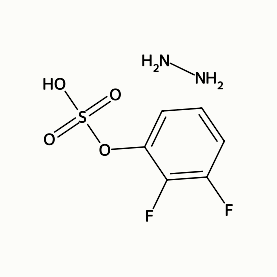 NN.O=S(=O)(O)Oc1cccc(F)c1F